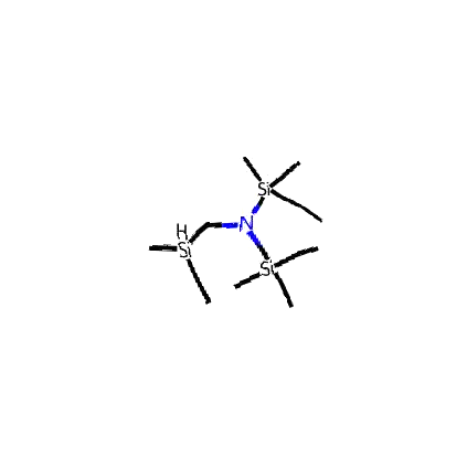 C[SiH](C)CN([Si](C)(C)C)[Si](C)(C)C